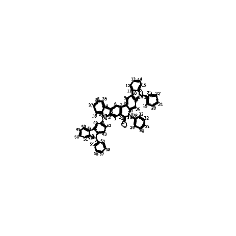 O=c1c2cc3c(cc2c2cc4c5ccccc5n(-c5ccccc5)c4cc2n1-c1ccccc1)c1ccccc1n3-c1ccc2c(c1)c1ccccc1n2-c1ccccc1